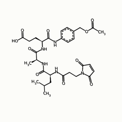 CC(=O)OCc1ccc(NC(=O)[C@H](CCC(=O)O)NC(=O)[C@H](C)NC(=O)[C@H](CC(C)C)NC(=O)CCN2C(=O)C=CC2=O)cc1